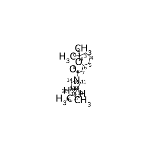 CC1(C)CCCC(CC(=O)N2C[C@@H]3[C@H](C2)C3(C)C)O1